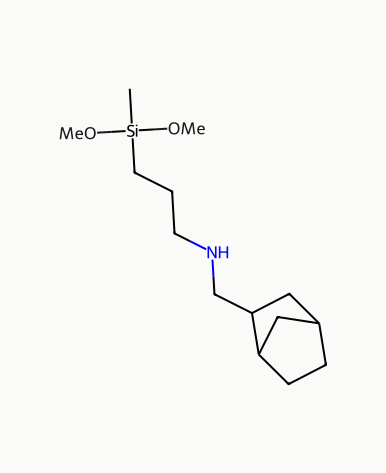 CO[Si](C)(CCCNCC1CC2CCC1C2)OC